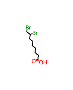 O=C(O)CCCCCCC(Br)CBr